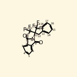 O=C1c2ccccc2C(=O)N1C(Cc1ccccc1)(C(F)(F)F)C(F)(F)F